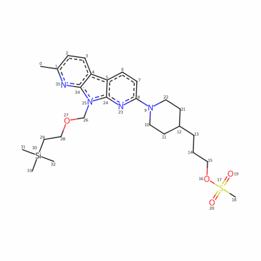 Cc1ccc2c3ccc(N4CCC(CCCOS(C)(=O)=O)CC4)nc3n(COCC[Si](C)(C)C)c2n1